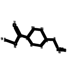 CNCC1CCC(C(=O)OI)CC1